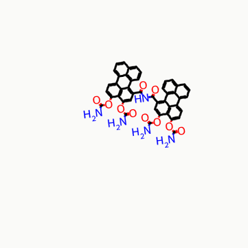 NC(=O)Oc1ccc2c3cccc4cccc(c5c(C(=O)NC(=O)c6cc(OC(N)=O)c7c(OC(N)=O)ccc8c9cccc%10cccc(c6c78)c%109)cc(OC(N)=O)c1c25)c43